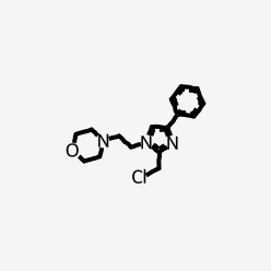 ClCc1nc(-c2ccccc2)cn1CCN1CCOCC1